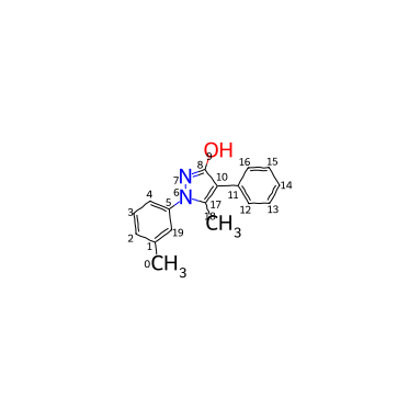 Cc1cccc(-n2nc(O)c(-c3ccccc3)c2C)c1